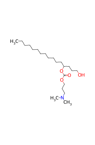 CCCCCCCCCCCCC(CCCO)OC(=O)OCCCN(C)C